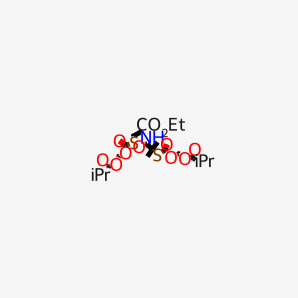 CCOC(=O)[C@H](CSC(=O)OCOC(=O)C(C)C)NC(=O)C(C)(C)SC(=O)OCOC(=O)C(C)C